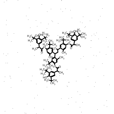 Cc1cc(OC(=O)C(C)c2cc(C(C)(C)C)c(O)c(C(C)(C)C)c2)c(C(C)(C)C)cc1C(C)CC(c1cc(C(C)(C)C)c(OC(=O)C(C)c2cc(C(C)(C)C)c(O)c(C(C)(C)C)c2)cc1C)c1cc(C(C)(C)C)c(OC(=O)C(C)c2cc(C(C)(C)C)c(O)c(C(C)(C)C)c2)cc1C